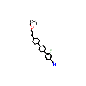 CCOC/C=C/C1CCC(C2CCC(c3ccc(C#N)cc3F)CC2)CC1